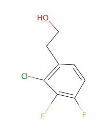 OCCc1ccc(F)c(F)c1Cl